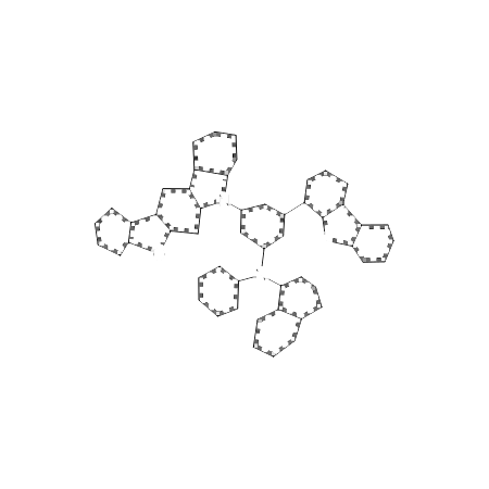 c1ccc(N(c2cc(-c3cccc4c3sc3ccccc34)cc(-n3c4ccccc4c4cc5c(cc43)oc3ccccc35)c2)c2cccc3ccccc23)cc1